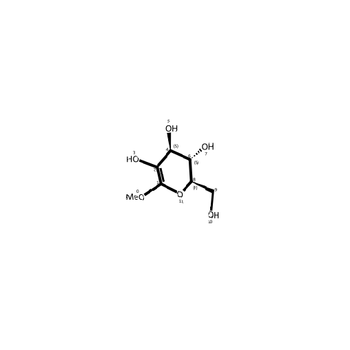 COC1=C(O)[C@@H](O)[C@H](O)[C@@H](CO)O1